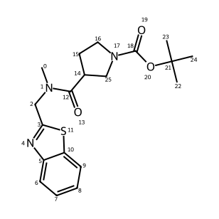 CN(Cc1nc2ccccc2s1)C(=O)C1CCN(C(=O)OC(C)(C)C)C1